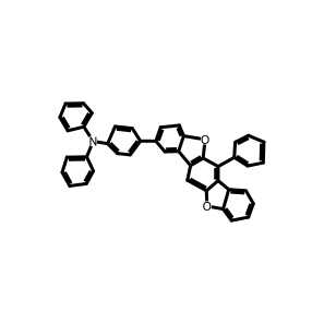 c1ccc(-c2c3oc4ccc(-c5ccc(N(c6ccccc6)c6ccccc6)cc5)cc4c3cc3oc4ccccc4c23)cc1